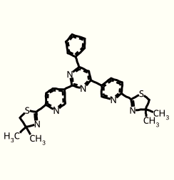 CC1(C)CSC(c2ccc(-c3cc(-c4ccccc4)nc(-c4ccc(C5=NC(C)(C)CS5)nc4)n3)cn2)=N1